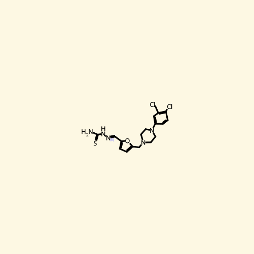 NC(=S)N/N=C/c1ccc(CN2CCN(c3ccc(Cl)c(Cl)c3)CC2)o1